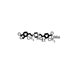 CCc1c(C(O)CN2CCN(CCc3ccc4c(c3C)COC4=O)CC2)ccc(C(=O)OC)c1C